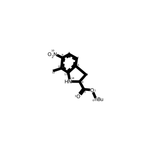 CCCCOC(=O)C1Cc2ccc([N+](=O)[O-])c(C)c2N1